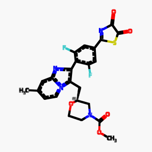 COC(=O)N1CCO[C@@H](Cc2c(-c3c(F)cc(C4=NC(=O)C(=O)S4)cc3F)nc3cc(C)ccn23)C1